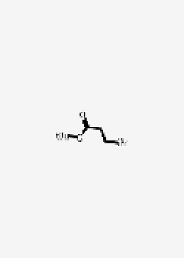 CC(C)CCC(=O)OC(C)(C)C